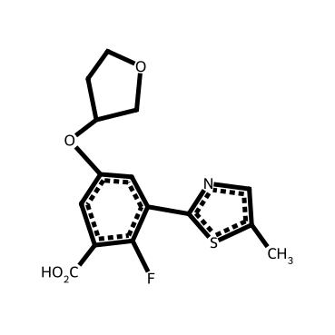 Cc1cnc(-c2cc(OC3CCOC3)cc(C(=O)O)c2F)s1